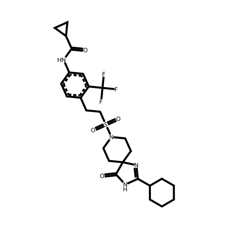 O=C(Nc1ccc(CCS(=O)(=O)N2CCC3(CC2)N=C(C2CCCCC2)NC3=O)c(C(F)(F)F)c1)C1CC1